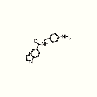 Nc1ccc(CNC(=O)c2ccc3nccn3c2)cc1